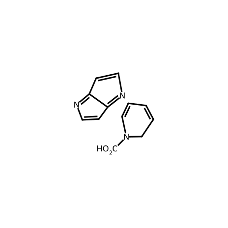 C1=CC2=NC=CC2=N1.O=C(O)N1C=CC=CC1